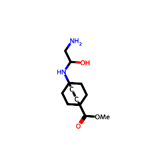 COC(=O)C12CCC(NC(O)CN)(CC1)CC2